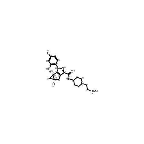 COCCN1CCC(NC(=O)c2nn(-c3ccc(F)cc3F)c3c2C[C@H]2C[C@@H]32)CC1